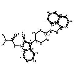 CN(C)C(=O)Cn1c(=O)n(C2CCN([C@@H]3Cc4cccc5cccc3c45)CC2)c2ccccc21